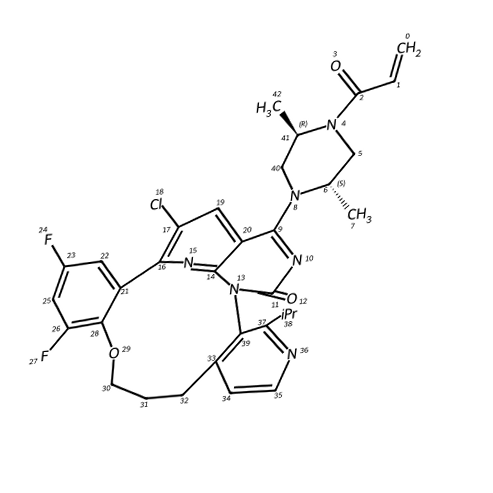 C=CC(=O)N1C[C@H](C)N(c2nc(=O)n3c4nc(c(Cl)cc24)-c2cc(F)cc(F)c2OCCCc2ccnc(C(C)C)c2-3)C[C@H]1C